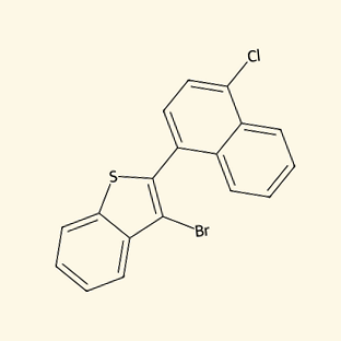 Clc1ccc(-c2sc3ccccc3c2Br)c2ccccc12